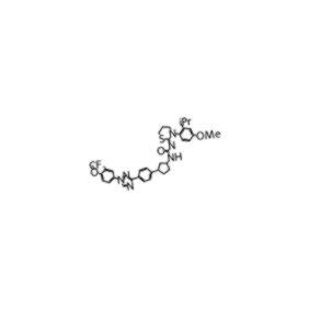 COc1ccc(N2CCCS/C2=N\C(=O)NC2CCC(c3ccc(-c4ncn(-c5ccc(OC(F)(F)F)cc5)n4)cc3)C2)c(C(C)C)c1